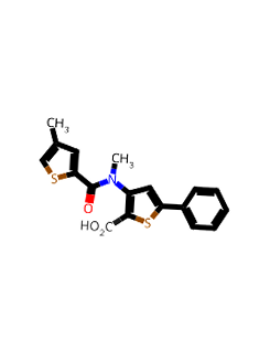 Cc1csc(C(=O)N(C)c2cc(-c3ccccc3)sc2C(=O)O)c1